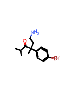 CC(C)C(=O)C(C)(CCN)c1ccc(Br)cc1